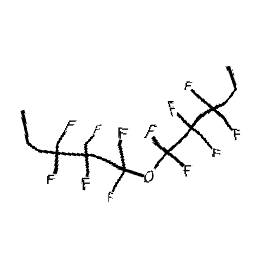 CCC(F)(F)C(F)(F)C(F)(F)OC(F)(F)C(F)(F)C(F)(F)CC